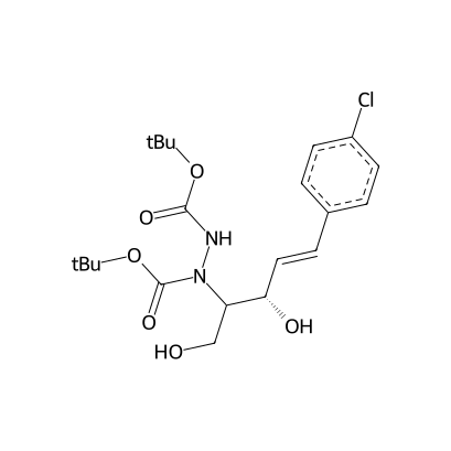 CC(C)(C)OC(=O)NN(C(=O)OC(C)(C)C)C(CO)[C@@H](O)/C=C/c1ccc(Cl)cc1